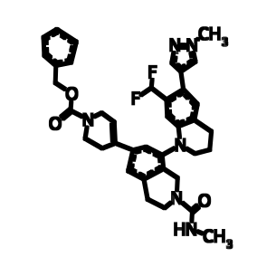 CNC(=O)N1CCc2cc(C3=CCN(C(=O)OCc4ccccc4)CC3)cc(N3CCCc4cc(-c5cnn(C)c5)c(C(F)F)cc43)c2C1